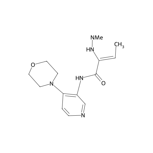 C/C=C(\NNC)C(=O)Nc1cnccc1N1CCOCC1